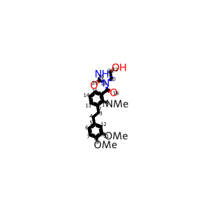 CNc1c(CCc2ccc(OC)c(OC)c2)cccc1C(=O)N(CCO)C(N)=O